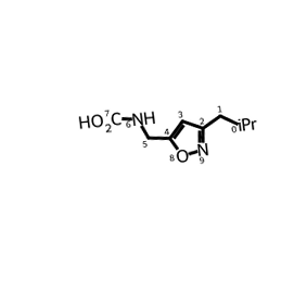 CC(C)Cc1cc(CNC(=O)O)on1